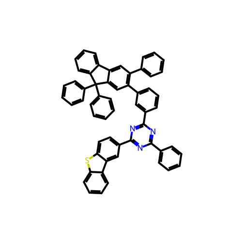 c1ccc(-c2nc(-c3cccc(-c4cc5c(cc4-c4ccccc4)-c4ccccc4C5(c4ccccc4)c4ccccc4)c3)nc(-c3ccc4sc5ccccc5c4c3)n2)cc1